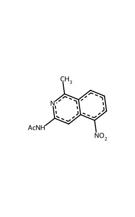 CC(=O)Nc1cc2c([N+](=O)[O-])cccc2c(C)n1